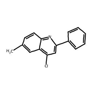 Cc1ccc2nc(-c3ccccc3)cc(Cl)c2c1